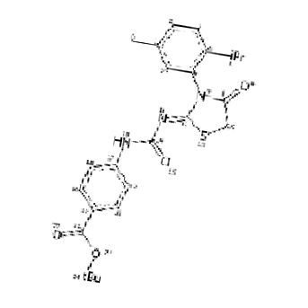 Cc1ccc(C(C)C)c(N2C(=O)CSC2=NC(=O)Nc2ccc(C(=O)OC(C)(C)C)cc2)c1